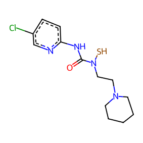 O=C(Nc1ccc(Cl)cn1)N(S)CCN1CCCCC1